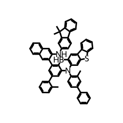 Cc1ccccc1-c1cc(-c2cc3ccccc3cc2Nc2ccc3c(c2)C(C)(C)c2ccccc2-3)c2c(c1)N(c1ccc(-c3ccccc3)cc1C)c1cc3sc4ccccc4c3cc1B2